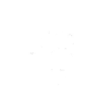 CCCC1(CCN2CCCC2)CNC(=O)c2ccc(OC)cc21